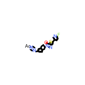 CC(=O)N1CCN(Cc2ccc3c(c2)CC[C@H](n2cnc4cc(-c5ccc(F)nc5)sc4c2=O)C3)CC1